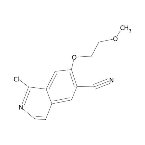 COCCOc1cc2c(Cl)nccc2cc1C#N